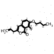 C=CCc1cc2ccc(OCCCC)c(F)c2c(=O)o1